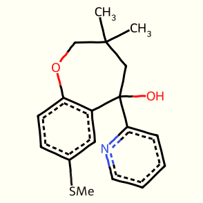 CSc1ccc2c(c1)C(O)(c1ccccn1)CC(C)(C)CO2